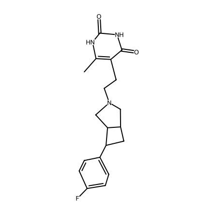 Cc1[nH]c(=O)[nH]c(=O)c1CCN1CC2CC(c3ccc(F)cc3)C2C1